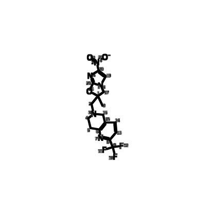 CC1(CN2CCc3nc(C(F)(F)F)ccc3C2)Cn2cc([N+](=O)[O-])nc2O1